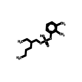 CCCCC(CC)COP(=O)(O)Oc1cccc(C)c1C